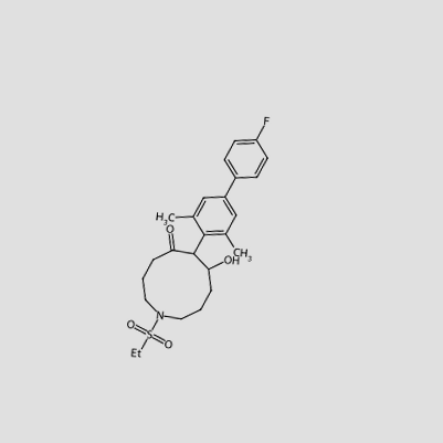 CCS(=O)(=O)N1CCCC(=O)C(c2c(C)cc(-c3ccc(F)cc3)cc2C)C(O)CCC1